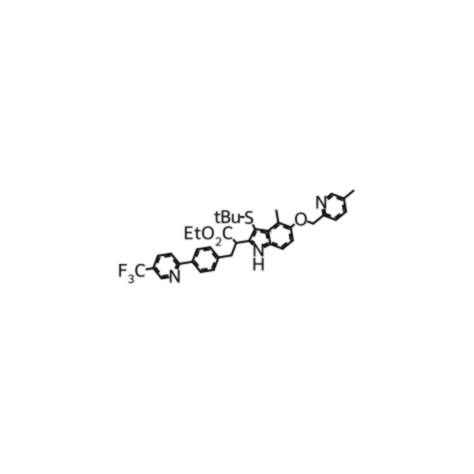 CCOC(=O)C(Cc1ccc(-c2ccc(C(F)(F)F)cn2)cc1)c1[nH]c2ccc(OCc3ccc(C)cn3)c(C)c2c1SC(C)(C)C